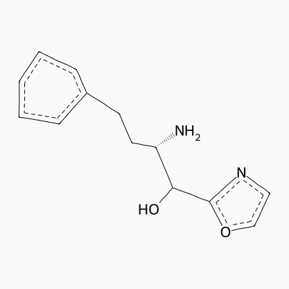 N[C@@H](CCc1ccccc1)C(O)c1ncco1